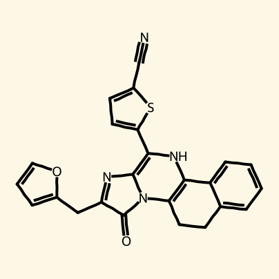 N#Cc1ccc(-c2[nH]c3c(n4c(=O)c(Cc5ccco5)nc2-4)CCc2ccccc2-3)s1